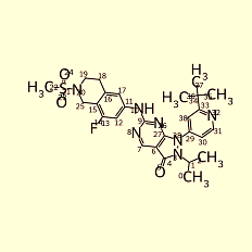 CC(C)n1c(=O)c2cnc(Nc3cc(F)c4c(c3)CCN(S(C)(=O)=O)C4)nc2n1-c1ccnc(C(C)(C)C)c1